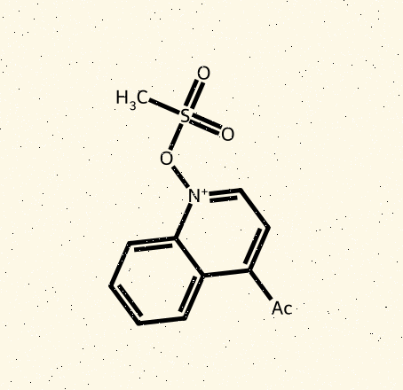 CC(=O)c1cc[n+](OS(C)(=O)=O)c2ccccc12